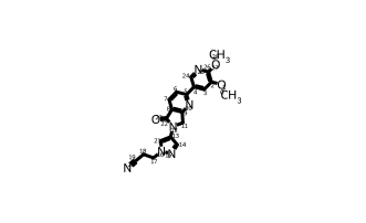 COc1cc(-c2ccc3c(n2)CN(c2cnn(CCC#N)c2)C3=O)cnc1OC